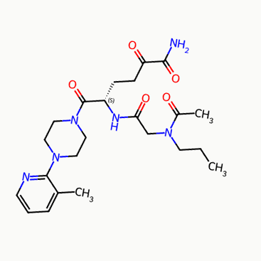 CCCN(CC(=O)N[C@@H](CCC(=O)C(N)=O)C(=O)N1CCN(c2ncccc2C)CC1)C(C)=O